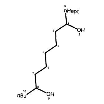 CCCCCCCC(O)CCCCCC(O)CCCC